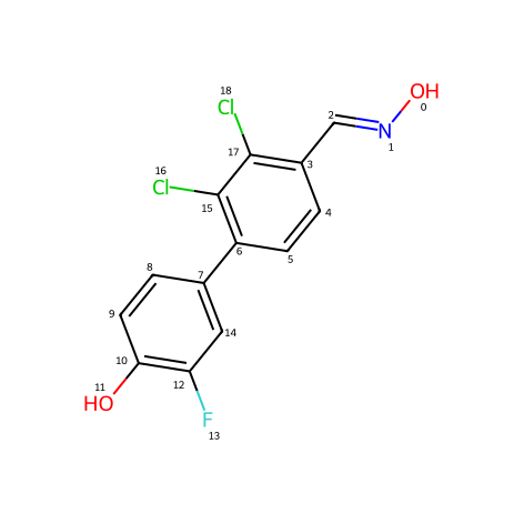 ON=Cc1ccc(-c2ccc(O)c(F)c2)c(Cl)c1Cl